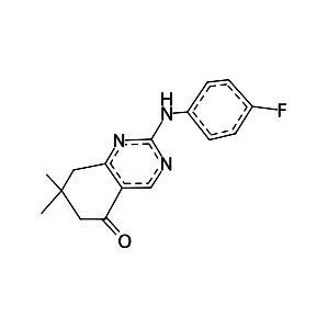 CC1(C)CC(=O)c2cnc(Nc3ccc(F)cc3)nc2C1